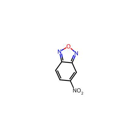 O=[N+]([O-])c1ccc2nonc2c1